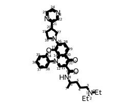 CCN(CC)CCCC(C)NC(=O)c1cn2c3c(c(N4CCC(c5cnccn5)C4)ccc3c1=O)Oc1ccccc1-2